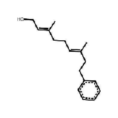 CC(=CCC/C(C)=C/CO)CCc1ccccc1